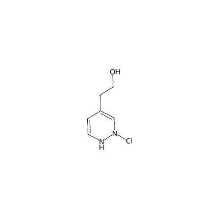 OCCC1=CN(Cl)NC=C1